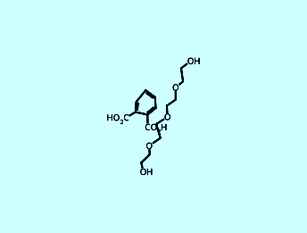 O=C(O)c1ccccc1C(=O)O.OCCOCCOCCOCCO